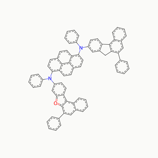 c1ccc(-c2cc3ccccc3c3c2Cc2cc(N(c4ccccc4)c4ccc5ccc6c(N(c7ccccc7)c7ccc8c(c7)oc7c(-c9ccccc9)cc9ccccc9c78)ccc7ccc4c5c76)ccc2-3)cc1